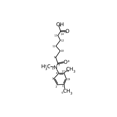 Cc1ccc(N(C)C(=O)CCCCCC(=O)O)c(C)c1